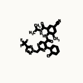 Cc1cc(C#N)cc(C(=O)NC(C)C)c1NC(=O)c1cnc(Cn2nnc(C(F)(F)F)n2)nc1-c1ccccc1Cl